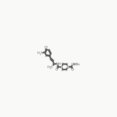 CC(C#Cc1ccc(Cl)c(N)c1)NC(=O)N1CCN(C(=O)OC(C)(C)C)CC1